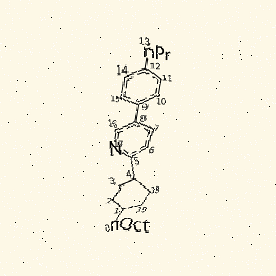 CCCCCCCCC1CCC(c2ccc(-c3ccc(CCC)cc3)cn2)CC1